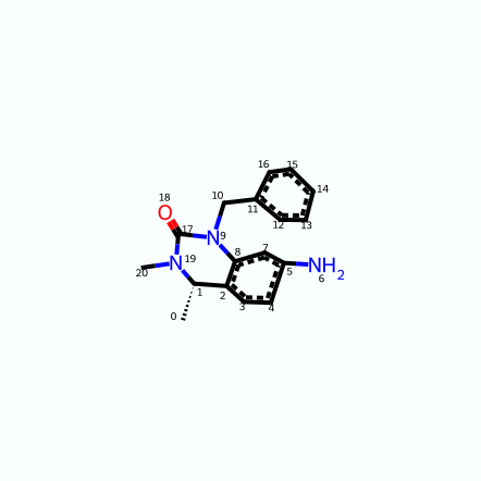 C[C@H]1c2ccc(N)cc2N(Cc2ccccc2)C(=O)N1C